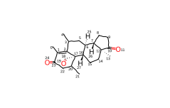 CC1=C2C(C)C[C@H]3[C@@H]4CCC(=O)[C@@]4(C)CC[C@@H]3[C@@]2(C=O)C(C)CC1=O